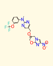 CN(c1cccc(OC(F)(F)F)c1)c1ncc(CO[C@@H]2COc3nc([N+](=O)[O-])cn3C2)cn1